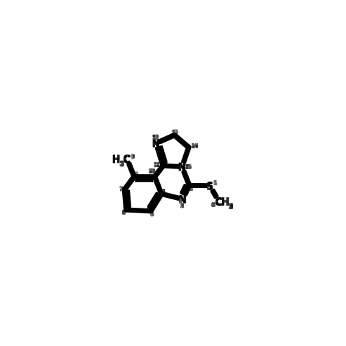 CSC1=Nc2cccc(C)c2C2=NCCN12